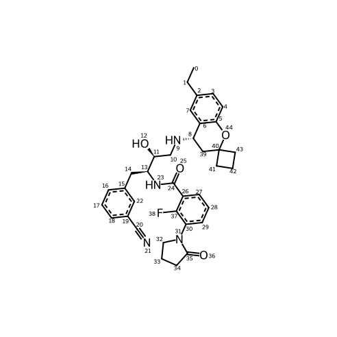 CCc1ccc2c(c1)[C@@H](NC[C@H](O)[C@H](Cc1cccc(C#N)c1)NC(=O)c1cccc(N3CCCC3=O)c1F)CC1(CCC1)O2